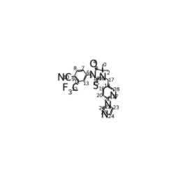 CC1(C)C(=O)N(c2ccc(C#N)c(C(F)(F)F)c2)C(=S)N1Cc1ccc(-n2ccnc2)nc1